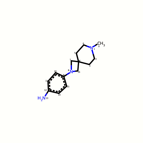 CN1CCC2(CC1)CN(c1ccc(N)cc1)C2